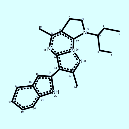 CCC(CC)N1CCc2c(C)nc3c(-c4cc5ccccc5[nH]4)c(C)nn3c21